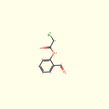 O=Cc1ccccc1OC(=O)CBr